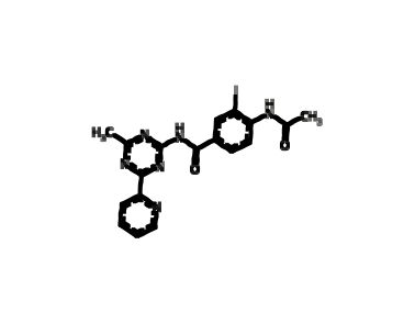 CC(=O)Nc1ccc(C(=O)Nc2nc(C)nc(-c3ccccn3)n2)cc1I